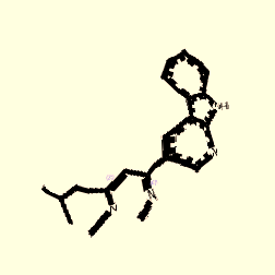 C=N/C(=C\C(=N/C)c1cnc2[nH]c3ccccc3c2c1)CC(C)C